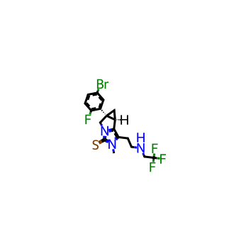 Cn1c(CCNCC(F)(F)F)c2n(c1=S)C[C@@]1(c3cc(Br)ccc3F)C[C@@H]21